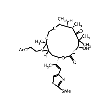 CSc1nc(/C=C(\C)[C@@H]2C[C@@H]3N(CCOC(C)=O)[C@]3(C)CCC[C@H](C)[C@H](O)[C@@H](C)C(=O)C(C)(C)[C@@H](O)CC(=O)O2)cs1